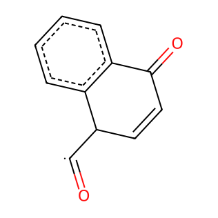 O=[C]C1C=CC(=O)c2ccccc21